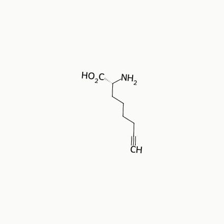 C#CCCCC[C@@H](N)C(=O)O